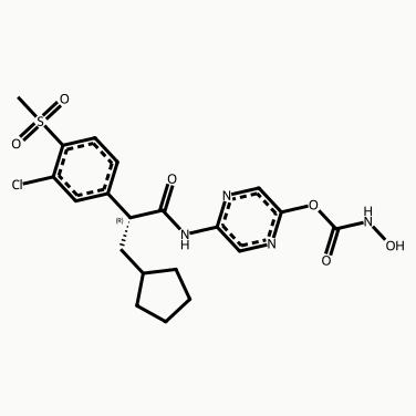 CS(=O)(=O)c1ccc([C@@H](CC2CCCC2)C(=O)Nc2cnc(OC(=O)NO)cn2)cc1Cl